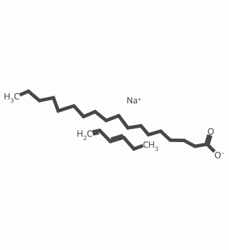 C=CC=CCC.CCCCCCCCCCCCCCCCCC(=O)[O-].[Na+]